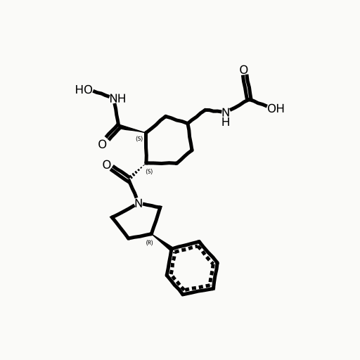 O=C(O)NCC1CC[C@H](C(=O)N2CC[C@H](c3ccccc3)C2)[C@@H](C(=O)NO)C1